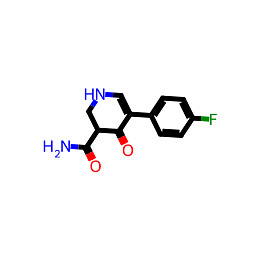 NC(=O)C1CNC=C(c2ccc(F)cc2)C1=O